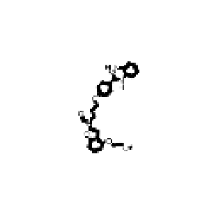 COCCOc1cccc2oc(N(C=O)CCCOc3ccc(C(=O)Nc4ccccc4N)cc3)cc12